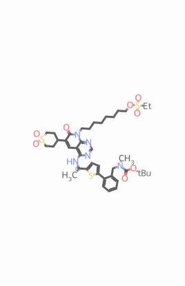 CCS(=O)(=O)OCCCCCCCCn1c(=O)c(C2CCS(=O)(=O)CC2)cc2c(N[C@H](C)c3ccc(-c4ccccc4CN(C)C(=O)OC(C)(C)C)s3)ncnc21